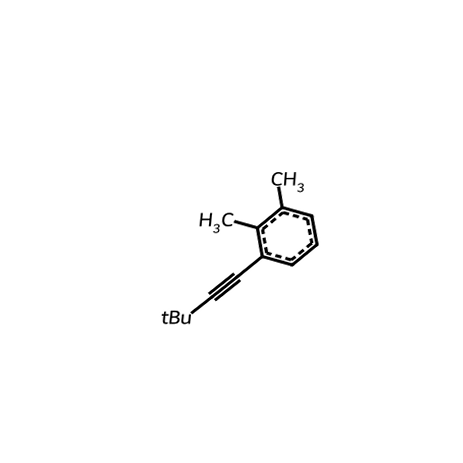 Cc1cccc(C#CC(C)(C)C)c1C